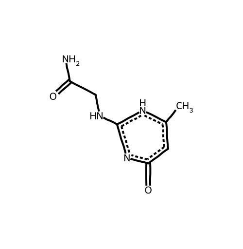 Cc1cc(=O)nc(NCC(N)=O)[nH]1